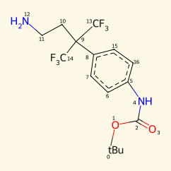 CC(C)(C)OC(=O)Nc1ccc(C(CCN)(C(F)(F)F)C(F)(F)F)cc1